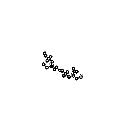 c1cncc(-c2cccc(-c3cc(-c4cccc5c(-c6ccc7cc(-c8c9ccccc9c(-c9cccc(-c%10nc(-c%11cccc(-c%12cccnc%12)c%11)cc(-c%11cc%12ccccc%12c%12ccccc%11%12)n%10)c9)c9ccccc89)ccc7c6)cccc45)nc(-c4cccc(-c5c6ccccc6c(-c6ccc7ccccc7c6)c6ccccc56)c4)n3)c2)c1